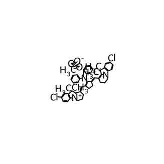 CC1(C)C2=C(C=C3CCC(C=C4CCC[N+]5=C4C(C)(C)c4cc(Cl)ccc45)=C3N(c3ccccc3)c3ccccc3)CCCN2c2ccc(Cl)cc21.CS(=O)(=O)[O-]